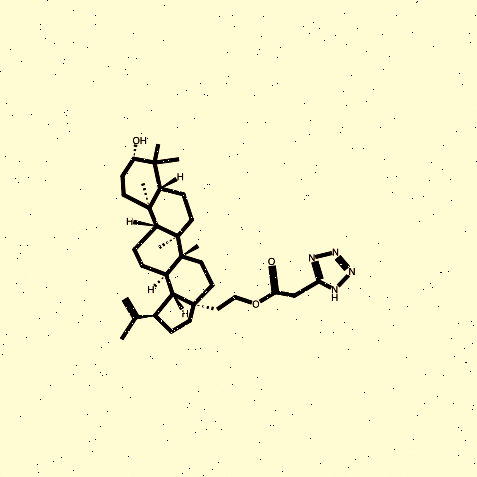 C=C(C)[C@@H]1CC[C@]2(CCOC(=O)Cc3nnn[nH]3)CC[C@]3(C)[C@H](CC[C@@H]4[C@@]5(C)CC[C@H](O)C(C)(C)[C@@H]5CC[C@]43C)[C@@H]12